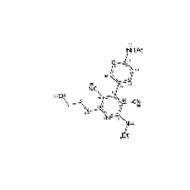 CCNc1nc(SCCO)c(C#N)c(-c2ccc(NC(C)=O)cc2)c1C#N